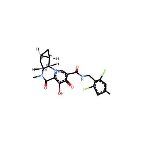 Cc1cc(F)c(CNC(=O)c2cn3c(c(O)c2=O)C(=O)N(C)[C@@H]2C[C@H]4C[C@H]4[C@@H]23)c(F)c1